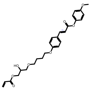 C=CC(=O)OCC(O)COCCCCOc1ccc(/C=C/C(=O)Oc2ccc(OC)cc2)cc1